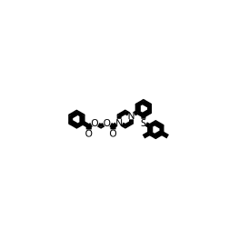 Cc1ccc(Sc2ccccc2N2CCN(C(=O)OCOC(=O)c3ccccc3)CC2)c(C)c1